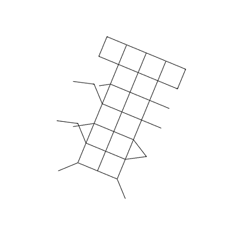 CCC12C(C)C3C(C)C45CC46C4(C)C7(C)C89CCC8C8C%10CCC%10%11C%10(C)C%12(CC)C1(C)C6(C325)C4%12C7%10C89%11